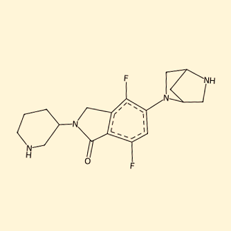 O=C1c2c(F)cc(N3CC4CC3CN4)c(F)c2CN1C1CCCNC1